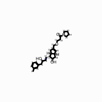 Cc1cccc(C[C@@H](O)/C=C/[C@@H]2[C@H]3CC(COCCC(=O)N4CCCC4)=C[C@H]3C[C@H]2O)c1